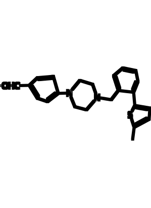 Cc1ccc(-c2ccccc2CN2CCN(c3ccc([C]=O)cc3)CC2)s1